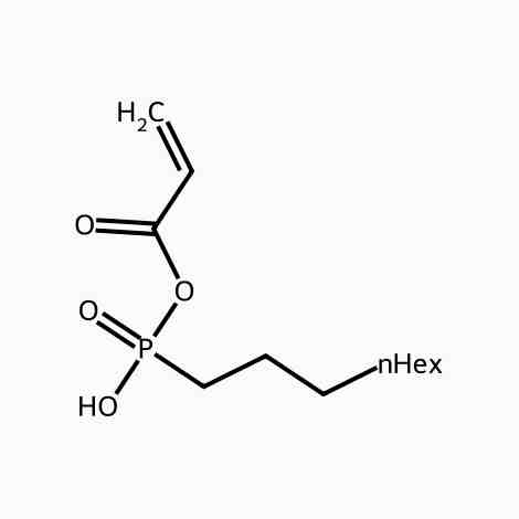 C=CC(=O)OP(=O)(O)CCCCCCCCC